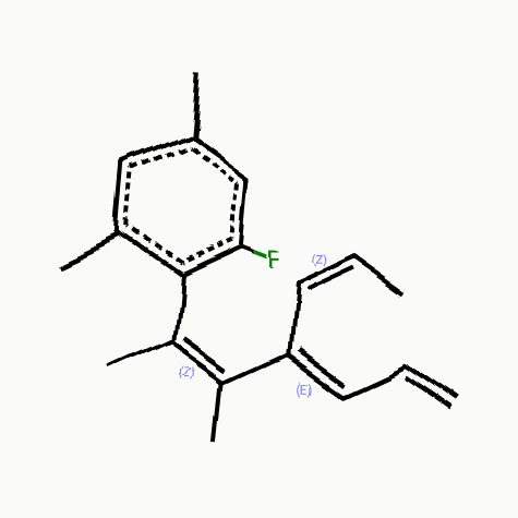 C=C/C=C(\C=C/C)C(/C)=C(/C)c1c(C)cc(C)cc1F